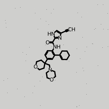 C#Cc1c[nH]c(C(=O)Nc2ccc(C3(CN4CCOCC4)CCOCC3)cc2C2=CCCCC2)n1